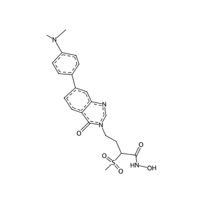 CN(C)c1ccc(-c2ccc3c(=O)n(CCC(C(=O)NO)S(C)(=O)=O)cnc3c2)cc1